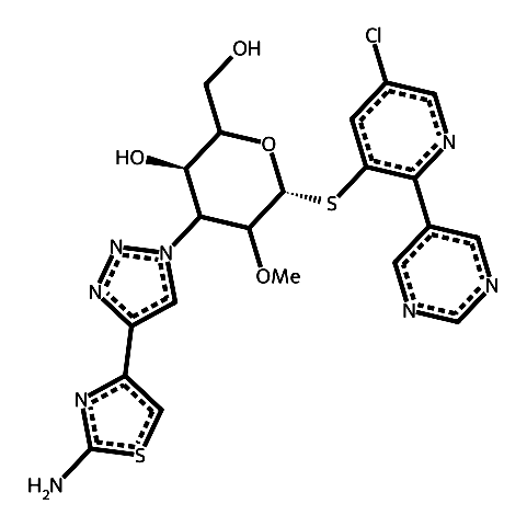 COC1C(n2cc(-c3csc(N)n3)nn2)[C@@H](O)C(CO)O[C@@H]1Sc1cc(Cl)cnc1-c1cncnc1